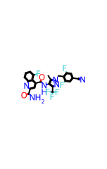 Cc1c(NC(=O)c2cc(C(N)=O)nc3cccc(F)c23)c(C(F)(F)F)nn1Cc1c(F)cc(C#N)cc1F